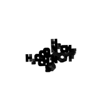 Cc1c(C(F)(F)F)ccc2c1c(N)c(C(=O)OC(C)(C)C)n2-c1ccsc1